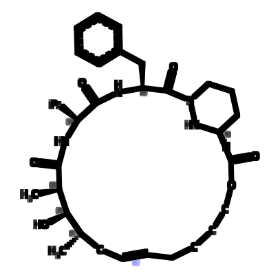 CC(C)[C@@H]1NC(=O)[C@H](C)[C@H](O)[C@@H](C)C/C=C/CCCCOC(=O)[C@@H]2CCCN(N2)C(=O)[C@H](Cc2ccccc2)NC1=O